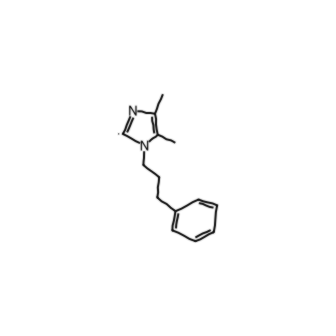 Cc1n[c]n(CCCc2ccccc2)c1C